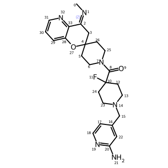 C/N=C1/CC2(CCN(C(=O)C3(F)CCN(Cc4ccnc(N)c4)CC3)CC2)Oc2cccnc21